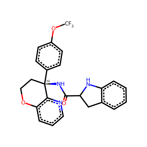 O=C(N[C@]1(c2ccc(OC(F)(F)F)cc2)CCOc2cccnc21)C1Cc2ccccc2N1